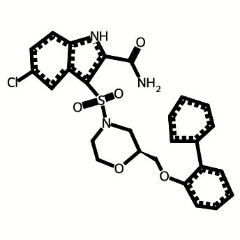 NC(=O)c1[nH]c2ccc(Cl)cc2c1S(=O)(=O)N1CCO[C@H](COc2ccccc2-c2ccccc2)C1